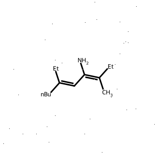 CCCC/C(=C/C(N)=C(\C)CC)CC